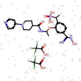 CC(NC(=O)C1CCN(c2ccncc2)CC1)Oc1cc(C(=N)NO)ccc1C(C)P(=O)(O)O.O=C(O)C(F)(F)F.O=C(O)C(F)(F)F